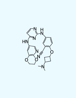 CN(C)C1CC(Oc2ccc(Nc3nccc(Nc4cnc5c(c4)OCCO5)n3)cc2C#N)C1